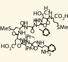 CSCC[C@H](NC(=O)[C@@H](NC(=O)[C@H](Cc1ccccc1)NC(=O)CNC(=O)[C@H](CCSC)NC(=O)[C@H](CCC(=O)O)NC(=O)[C@@H](NC(=O)[C@H](CC(C)C)NC(=O)[C@@H](N)Cc1ccccc1)C(C)C)[C@@H](C)O)C(=O)O